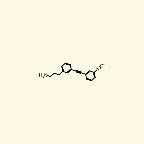 [C-]#[N+]c1cccc(C#Cc2cccc(CCCN)c2)c1